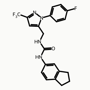 O=C(NCc1cc(C(F)(F)F)nn1-c1ccc(F)cc1)Nc1ccc2c(c1)CCC2